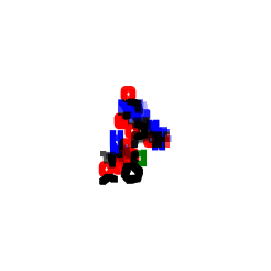 CC(C)OC(=O)[C@H](C)NP(=O)(OC[C@H]1O[C@@H](N(/C=C\C=O)C(N)=O)[C@](C)(N=[N+]=[N-])[C@@H]1O)Oc1ccccc1Cl